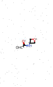 O=CC(=O)NC1COC1